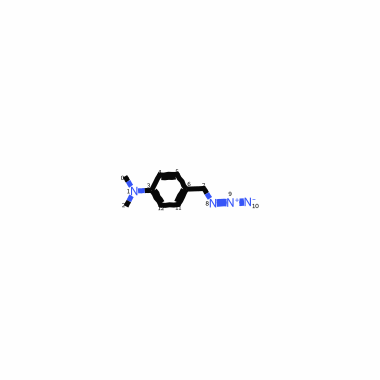 CN(C)c1ccc(CN=[N+]=[N-])cc1